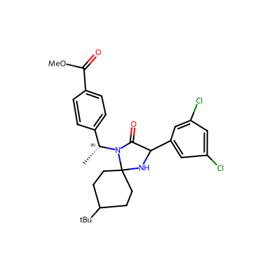 COC(=O)c1ccc([C@@H](C)N2C(=O)C(c3cc(Cl)cc(Cl)c3)NC23CCC(C(C)(C)C)CC3)cc1